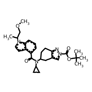 COCC(C)n1ccc2c(C(=O)N(C3CC3)C3CCc4nn(C(=O)OC(C)(C)C)cc4C3)cccc21